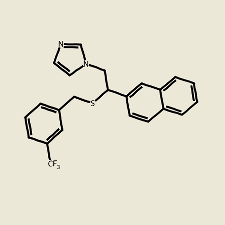 FC(F)(F)c1cccc(CSC(Cn2ccnc2)c2ccc3ccccc3c2)c1